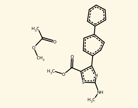 CNc1nc(-c2ccc(-c3ccccc3)cc2)c(C(=O)OC)s1.COC(C)=O